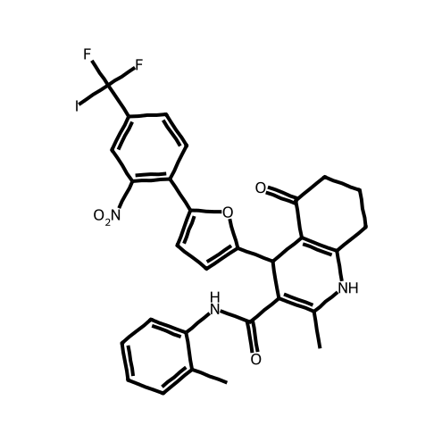 CC1=C(C(=O)Nc2ccccc2C)C(c2ccc(-c3ccc(C(F)(F)I)cc3[N+](=O)[O-])o2)C2=C(CCCC2=O)N1